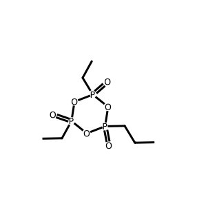 CCCP1(=O)OP(=O)(CC)OP(=O)(CC)O1